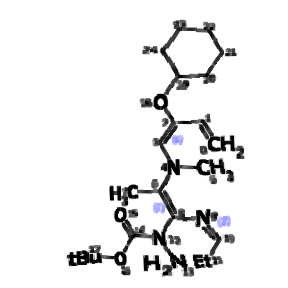 C=C/C(=C\N(C)/C(C)=C(\N=C/CC)N(N)C(=O)OC(C)(C)C)OC1CCCCC1